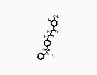 Cc1ccc(C(=O)NC(=S)Nc2ccc(S(=O)(=O)N(C)c3ccccc3)cc2)cc1I